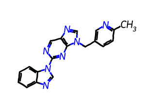 Cc1ccc(Cn2cnc3cnc(-n4cnc5ccccc54)nc32)cn1